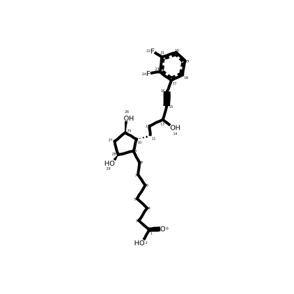 O=C(O)CCCCCCC1[C@@H](CCC(O)C#Cc2cccc(F)c2F)[C@H](O)C[C@@H]1O